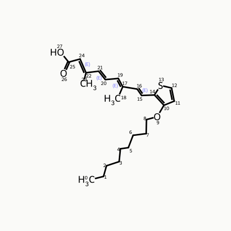 CCCCCCCCCOc1ccsc1/C=C/C(C)=C/C=C/C(C)=C/C(=O)O